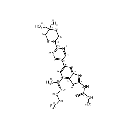 CCNC(=O)Nc1nc2cc(-c3cnc(N4CCC(C)(C(=O)O)CC4)nc3)cc(C(C)=NOCC(F)(F)F)c2s1